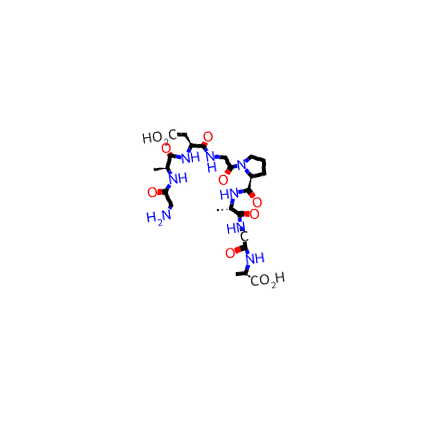 C[C@H](NC(=O)CNC(=O)[C@H](C)NC(=O)[C@@H]1CCCN1C(=O)CNC(=O)[C@H](CC(=O)O)NC(=O)[C@H](C)NC(=O)CN)C(=O)O